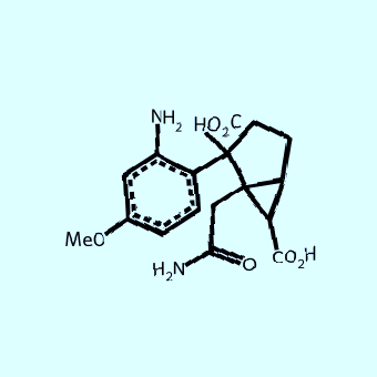 COc1ccc(C2(C(=O)O)CCC3C(C(=O)O)C32CC(N)=O)c(N)c1